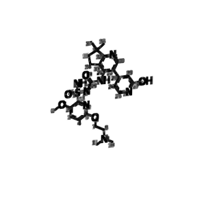 COc1ccc(OCCN(C)C)nc1S(N)(=O)=NC(=O)Nc1c(-c2ccnc(O)c2)cnc2c1CCC2(C)C